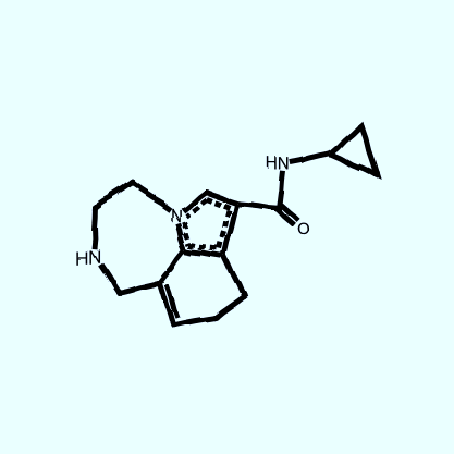 O=C(NC1CC1)c1cn2c3c1CCC=C3CNCC2